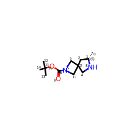 C[C@H]1CC2(CN1)CN(C(=O)OC(C)(C)C)C2